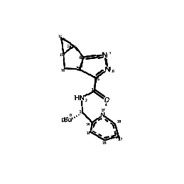 CC(C)(C)[C@H](NC(=O)C1=NN=C2C1CC1CC21)c1ccccn1